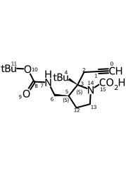 C#CC[C@@]1(C(C)(C)C)[C@H](CNC(=O)OC(C)(C)C)CCN1C(=O)O